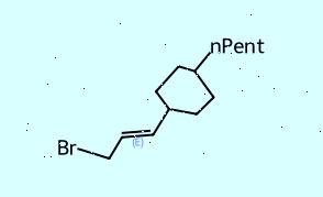 CCCCCC1CCC(/C=C/CBr)CC1